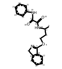 CC(CCOC1=NCc2ccccc21)NC(=O)C(=O)Nc1ccccc1